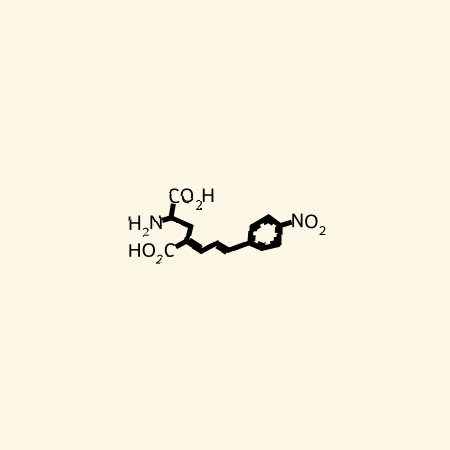 NC(C/C(=C\C=Cc1ccc([N+](=O)[O-])cc1)C(=O)O)C(=O)O